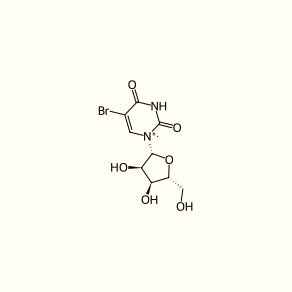 O=C1NC(=O)[N+]([C@@H]2O[C@H](CO)[C@@H](O)[C@H]2O)C=C1Br